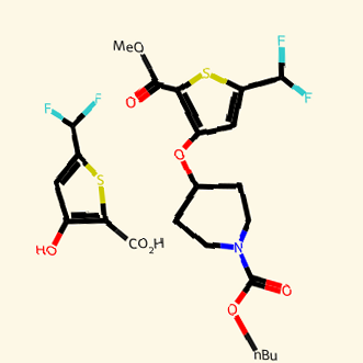 CCCCOC(=O)N1CCC(Oc2cc(C(F)F)sc2C(=O)OC)CC1.O=C(O)c1sc(C(F)F)cc1O